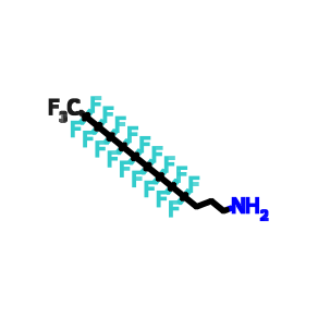 NCCCC(F)(F)C(F)(F)C(F)(F)C(F)(F)C(F)(F)C(F)(F)C(F)(F)C(F)(F)C(F)(F)C(F)(F)F